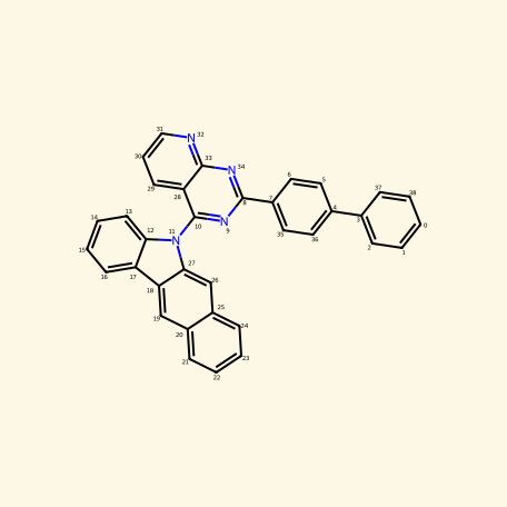 c1ccc(-c2ccc(-c3nc(-n4c5ccccc5c5cc6ccccc6cc54)c4cccnc4n3)cc2)cc1